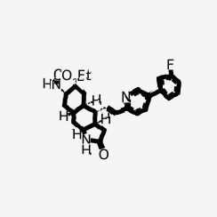 CCOC(=O)N[C@@H]1CC[C@@H]2[C@@H](C1)C[C@@H]1NC(=O)C[C@@H]1[C@H]2/C=C/c1ccc(-c2cccc(F)c2)cn1